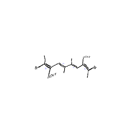 CCCCCCCCC(/C=C(C)/C(C)=C/C(CCCCCCCC)=C(\C)Br)=C(/C)Br